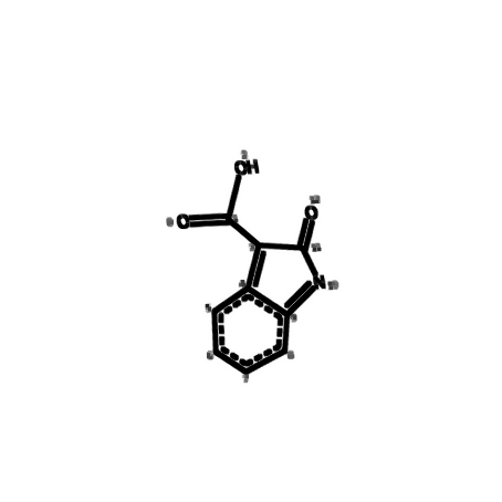 O=C(O)C1=c2ccccc2=NC1=O